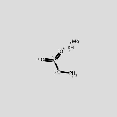 [KH].[Mo].[O]=[V](=[O])[O]P